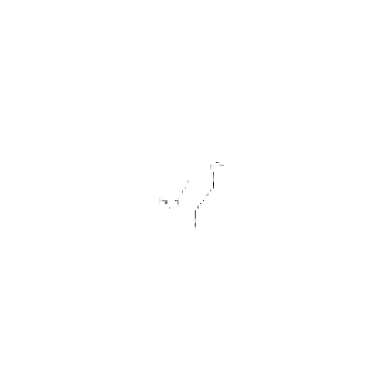 CCCCCI.NF